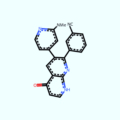 CNc1cc(-c2cc3c(=O)cc[nH]c3nc2-c2cccc(C#N)c2)ccn1